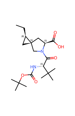 CC[C@@H]1C[C@]12C[C@@H](C(=O)O)N(C(=O)[C@@H](NC(=O)OC(C)(C)C)C(C)(C)C)C2